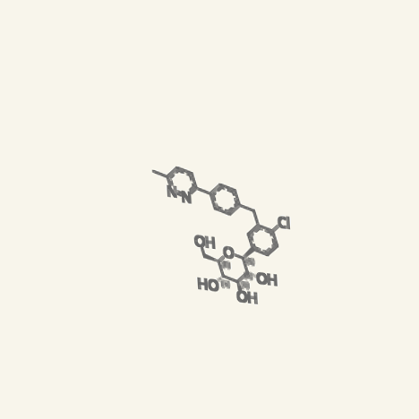 Cc1ccc(-c2ccc(Cc3cc([C@@H]4O[C@H](CO)[C@@H](O)[C@H](O)[C@H]4O)ccc3Cl)cc2)nn1